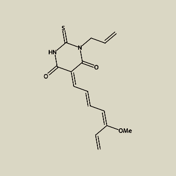 C=CCN1C(=O)\C(=C/C=C/C=C(\C=C)OC)C(=O)NC1=S